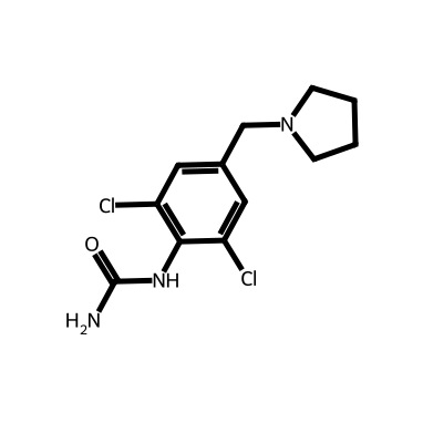 NC(=O)Nc1c(Cl)cc(CN2CCCC2)cc1Cl